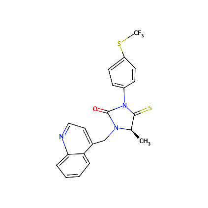 C[C@@H]1C(=S)N(c2ccc(SC(F)(F)F)cc2)C(=O)N1Cc1ccnc2ccccc12